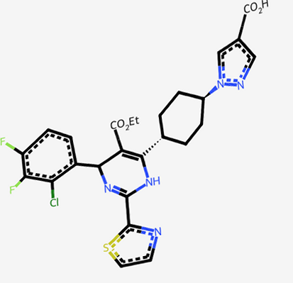 CCOC(=O)C1=C([C@H]2CC[C@H](n3cc(C(=O)O)cn3)CC2)NC(c2nccs2)=NC1c1ccc(F)c(F)c1Cl